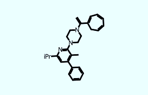 C=C(C1=CC=CC=CC1)N1CCN(c2nc(C(C)C)cc(-c3ccccc3)c2C)CC1